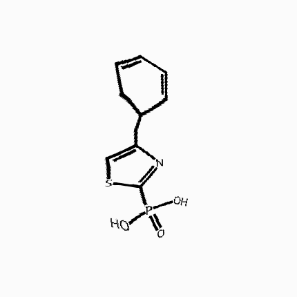 O=P(O)(O)c1nc(C2C=CC=CC2)cs1